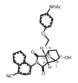 CC(=O)Nc1ccc(OCC[C@]23C[C@H](O)[C@](C)(O2)[C@@H]2C(=O)N(c4ccc(C#N)c5ccccc45)C(=O)[C@@H]23)cc1